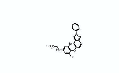 O=C(O)CNc1cc(Br)c(Oc2ccc3nn(-c4ccccc4)cc3c2)c(Br)c1